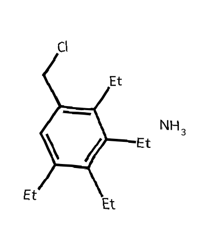 CCc1cc(CCl)c(CC)c(CC)c1CC.N